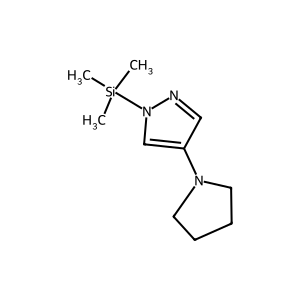 C[Si](C)(C)n1cc(N2CCCC2)cn1